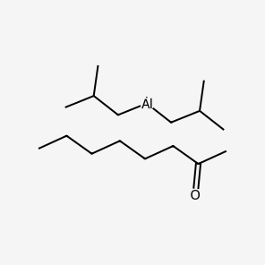 CC(C)[CH2][Al][CH2]C(C)C.CCCCCCC(C)=O